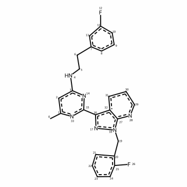 Cc1cc(NCCc2cccc(F)c2)nc(-c2nn(Cc3ccccc3F)c3ncccc23)n1